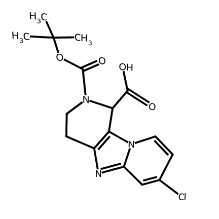 CC(C)(C)OC(=O)N1CCc2nc3cc(Cl)ccn3c2C1C(=O)O